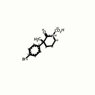 CC1(c2ccc(Br)cc2)CCCN(C(=O)O)C1=O